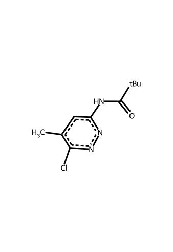 Cc1cc(NC(=O)C(C)(C)C)nnc1Cl